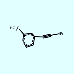 CC(C)C#Cc1ccnc(C(=O)O)c1